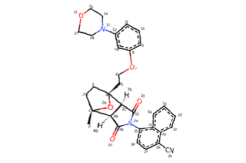 C[C@@]12CC[C@@](CCOc3cccc(N4CCOCC4)c3)(O1)[C@H]1C(=O)N(c3ccc(C#N)c4ccccc34)C(=O)[C@H]12